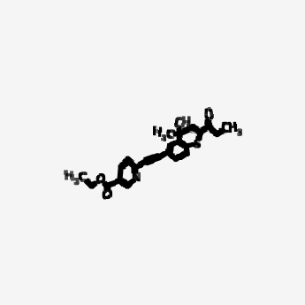 CCOC(=O)c1ccc(C#Cc2ccc3c(c2)C(C)(C)CC(C(=O)CC)S3)nc1